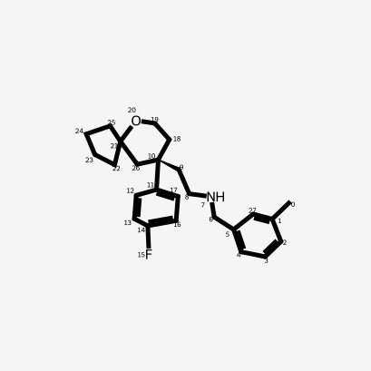 Cc1cccc(CNCC[C@]2(c3ccc(F)cc3)CCOC3(CCCC3)C2)c1